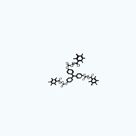 Cc1c(C)c(C)c(C(=O)OOC(=O)OC2CCC(C(C3CCC(OC(=O)OOC(=O)c4c(C)c(C)c(C)c(C)c4C)CC3)C3CCC(OC(=O)OOC(=O)c4c(C)c(C)c(C)c(C)c4C)CC3)CC2)c(C)c1C